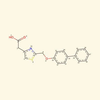 O=C(O)Cc1csc(COc2ccc(-c3ccccc3)cc2)n1